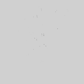 CC(=O)OCCSC(F)(F)C(O)C(c1ccc(F)cc1F)n1cncn1